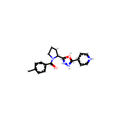 Cc1ccc(C(=O)N2CCCC2c2nnc(-c3ccncc3)o2)cc1